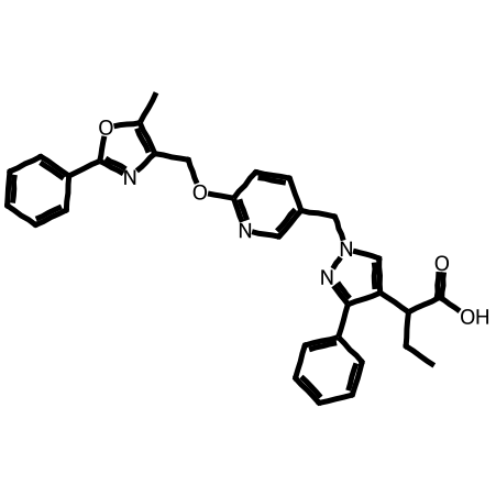 CCC(C(=O)O)c1cn(Cc2ccc(OCc3nc(-c4ccccc4)oc3C)nc2)nc1-c1ccccc1